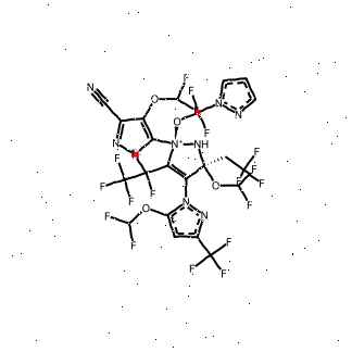 N#CC1=N[N]C([N@+]2(OC(F)(F)n3cccn3)N[C@@](CC(F)(F)F)(OC(F)F)C(n3nc(C(F)(F)F)cc3OC(F)F)=C2C(F)(F)C(F)(F)F)=C1OC(F)F